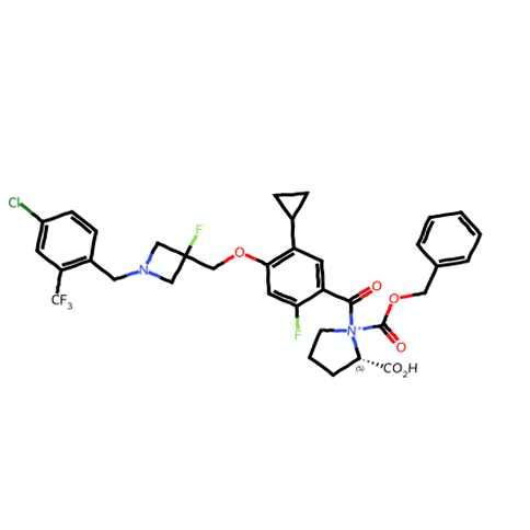 O=C(O)[C@@H]1CCC[N+]1(C(=O)OCc1ccccc1)C(=O)c1cc(C2CC2)c(OCC2(F)CN(Cc3ccc(Cl)cc3C(F)(F)F)C2)cc1F